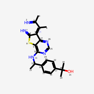 CC(=N)/C(C)=C1\C(=N)Sc2c(NC(C)c3ccc(C(C)(C)O)cc3)ncnc21